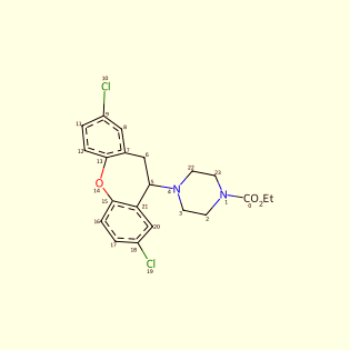 CCOC(=O)N1CCN(C2Cc3cc(Cl)ccc3Oc3ccc(Cl)cc32)CC1